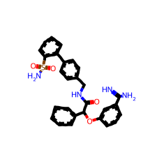 N=C(N)c1cccc(OC(C(=O)NCc2ccc(-c3ccccc3S(N)(=O)=O)cc2)c2ccccc2)c1